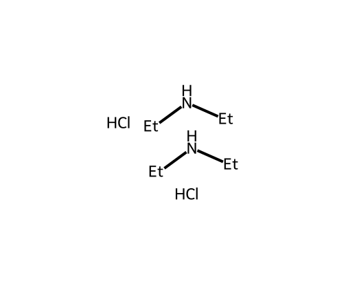 CCNCC.CCNCC.Cl.Cl